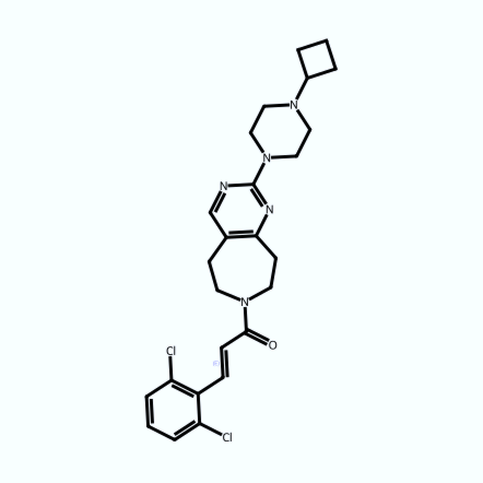 O=C(/C=C/c1c(Cl)cccc1Cl)N1CCc2cnc(N3CCN(C4CCC4)CC3)nc2CC1